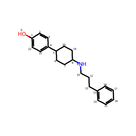 Oc1ccc(C2CCC(NCCCc3ccccc3)CC2)cc1